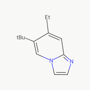 CCc1cc2nccn2cc1C(C)(C)C